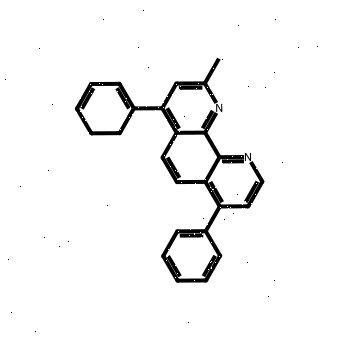 Cc1cc(C2=CC=CCC2)c2ccc3c(-c4ccccc4)ccnc3c2n1